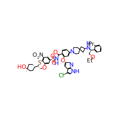 CCOC[C@@H](NC1CC2(CCN(c3ccc(C(=O)NS(=O)(=O)c4cc5c(c([N+](=O)[O-])c4)S[C@@H]([C@H]4CC[C@](C)(O)CC4)CO5)c(Oc4cnc5[nH]cc(Cl)c5c4)c3)CC2)C1)c1ccccc1C(C)C